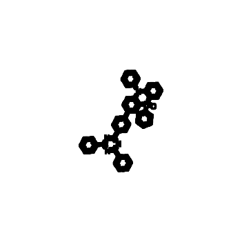 O=P1(c2ccccc2)c2ccccc2N(c2ccccc2)c2ccc(-c3ccc(-c4nc(-c5ccccc5)nc(-c5ccccc5)n4)cc3)cc21